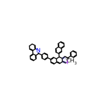 C[C@@H](/C=C1\C(=C/I)C=C2C=CC(c3ccc(-c4nc5c(c6ccccc46)=CCCC=5)cc3)=CC2C1c1ccc2ccccc2c1)c1ccccc1